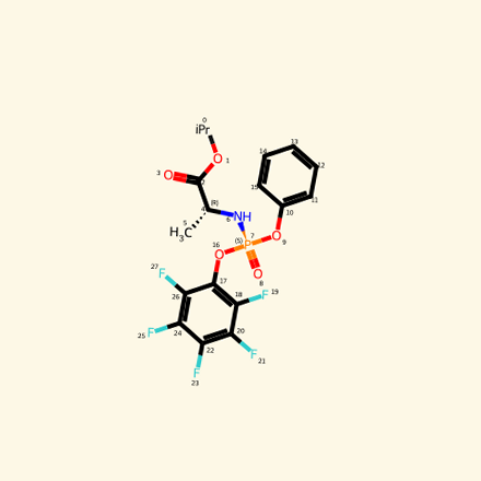 CC(C)OC(=O)[C@@H](C)N[P@](=O)(Oc1ccccc1)Oc1c(F)c(F)c(F)c(F)c1F